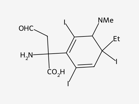 CCC1(I)C=C(I)C(C(N)(CC=O)C(=O)O)=C(I)C1NC